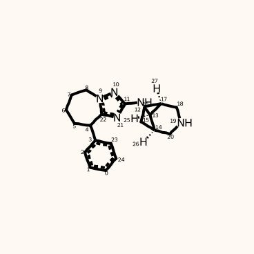 c1ccc(C2CCCCn3nc(N[C@@H]4[C@@H]5CC[C@H]4CNC5)nc32)cc1